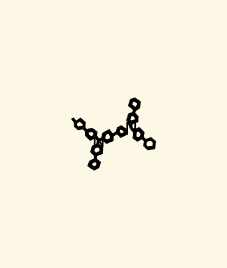 CC1C=CC(c2ccc(N(c3ccc(-c4ccccc4)cc3)c3ccc(-c4ccc(N(c5ccc(-c6ccccc6)cc5)c5ccc(C6CC=CCC6)cc5)cc4)cc3)cc2)=CC1